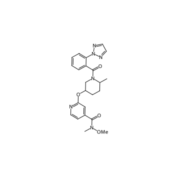 CON(C)C(=O)c1ccnc(OC2CCC(C)N(C(=O)c3ccccc3-n3nccn3)C2)c1